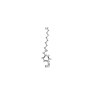 [Li][CH2]CCCCCCCOCc1ccc(OCC)cc1